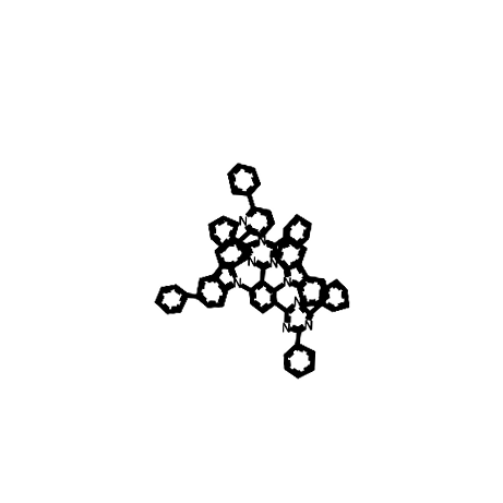 c1ccc(-c2ccc3c(c2)c2ccc(-c4cccc(-c5ccccc5)n4)cc2n3-c2ccc(-c3nc(-c4ccccc4)nc(-c4ccccc4)n3)c(-n3c4ccccc4c4ccccc43)c2-c2nc(-c3ccccc3)nc(-c3ccccc3)n2)cc1